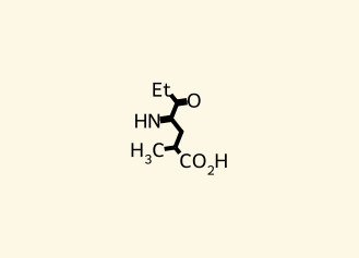 CCC(=O)C(=N)CC(C)C(=O)O